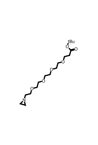 CC(C)(C)OC(=O)CCOCCOCCOCCOCCN1CC1